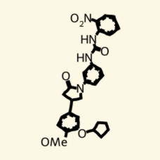 COc1ccc(C2CC(=O)N(c3cccc(NC(=O)Nc4ccccc4[N+](=O)[O-])c3)C2)cc1OC1CCCC1